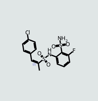 C/C(=C/c1ccc(Cl)cc1)S(=O)(=O)Nc1cccc(F)c1S(N)(=O)=O